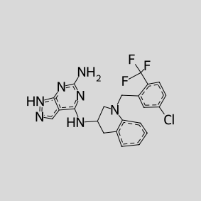 Nc1nc(NC2Cc3ccccc3N(Cc3cc(Cl)ccc3C(F)(F)F)C2)c2cn[nH]c2n1